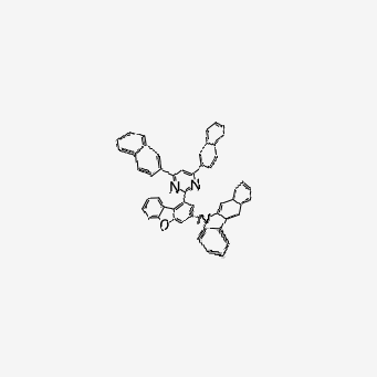 c1ccc2cc(-c3cc(-c4ccc5ccccc5c4)nc(-c4cc(-n5c6ccccc6c6cc7ccccc7cc65)cc5oc6ccccc6c45)n3)ccc2c1